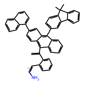 C=C(c1ccccc1/C=C\N)c1c2ccccc2c(-c2ccc3c(c2)-c2ccccc2C3(C)C)c2cc(-c3cccc4ccccc34)ccc12